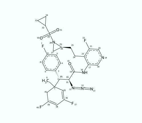 CC1([C@H](c2ccc(F)cc2)[C@H](N=[N+]=[N-])C(=O)Nc2cncc(F)c2CC[C@H]2CN2S(=O)(=O)C2CC2)C=C(F)C=C(F)C1